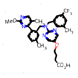 COc1ncc(C)c(-c2ccc(C)cc2CN(Cc2cc(C)cc(C(F)(F)F)c2)c2ncc(OCCCC(=O)O)cn2)n1